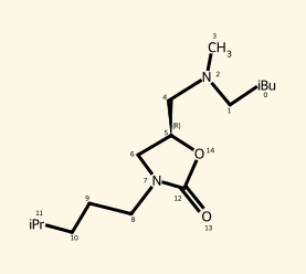 CCC(C)CN(C)C[C@@H]1CN(CCCC(C)C)C(=O)O1